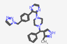 Cc1n[nH]cc1C(c1ccccc1)N1CCN(c2nccnc2-c2ccc(Cn3ccnn3)cc2)CC1